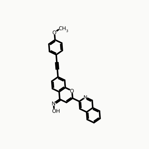 COc1ccc(C#Cc2ccc3c(=NO)cc(-c4cc5ccccc5cn4)oc3c2)cc1